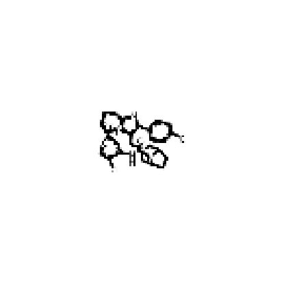 O=C(Nc1cc(C(F)(F)F)ccc1Cl)N1C2CCC1CN(Cc1c(-c3ccc(Cl)cc3)nc3ccccn13)C2